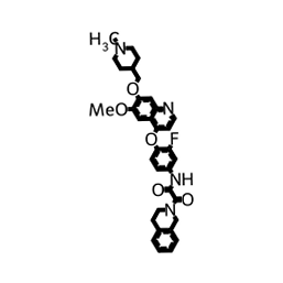 COc1cc2c(Oc3ccc(NC(=O)C(=O)N4CCc5ccccc5C4)cc3F)ccnc2cc1OCC1CCN(C)CC1